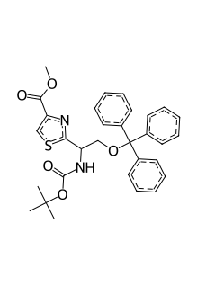 COC(=O)c1csc(C(COC(c2ccccc2)(c2ccccc2)c2ccccc2)NC(=O)OC(C)(C)C)n1